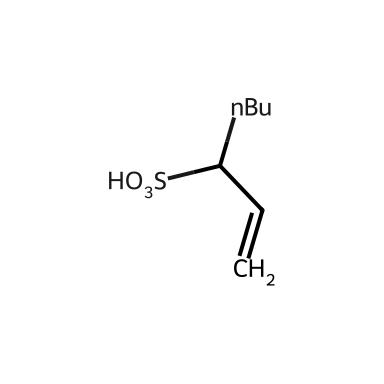 [CH2]CCCC(C=C)S(=O)(=O)O